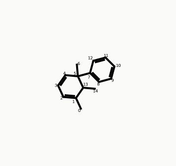 CC1=CC=CC(C)(c2ccccc2)C1C